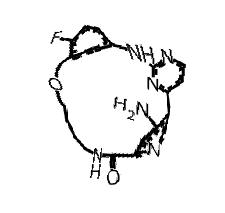 Nc1cc2ncc1-c1ccnc(n1)Nc1ccc(F)c(c1)COCCCCNC2=O